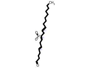 CCCCCCCC/C=C/C/C(=C/C/C=C/CCC[C]=O)[N+](=O)[O-]